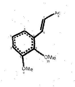 COc1cccc(/C=C/C(C)=O)c1OC